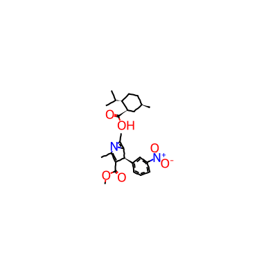 CC(C)[C@@H]1CC[C@@H](C)C[C@H]1C(=O)O.COC(=O)C1=C(C)N2C(C)=C2[C@H]1c1cccc([N+](=O)[O-])c1